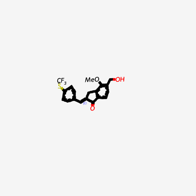 COc1c(CO)ccc2c1C/C(=C\c1ccc(SC(F)(F)F)cc1)C2=O